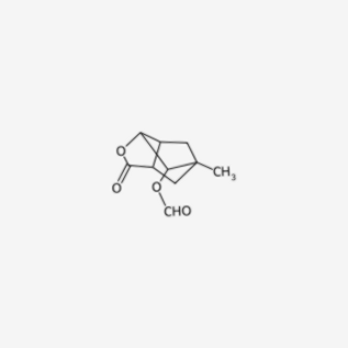 CC12CC3C(=O)OC(C3C1)C2OC=O